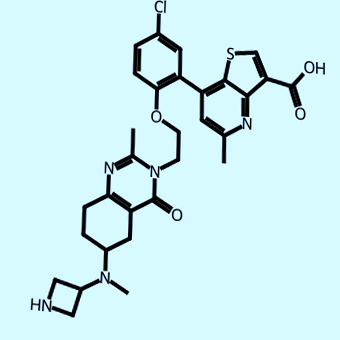 Cc1cc(-c2cc(Cl)ccc2OCCn2c(C)nc3c(c2=O)CC(N(C)C2CNC2)CC3)c2scc(C(=O)O)c2n1